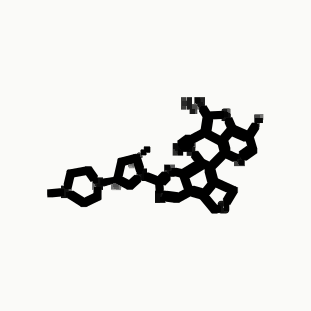 C[C@H]1C[C@H](N2CCN(C)CC2)CN1c1ncc2c3c(c(-c4ncc(F)c5sc(N)c(C#N)c45)c(F)c2n1)COC3